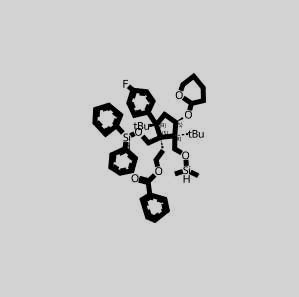 C[SiH](C)OC[C@]1(C(C)(C)C)[C@@H](OC2CCCCO2)C[C@](c2ccc(F)cc2)(C(C)(C)C)[C@]1(CCOC(=O)c1ccccc1)CO[SiH](c1ccccc1)c1ccccc1